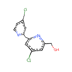 OCc1cc(Cl)cc(-c2cc(Cl)ccn2)n1